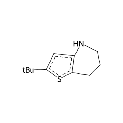 CC(C)(C)c1cc2c(s1)CCCN2